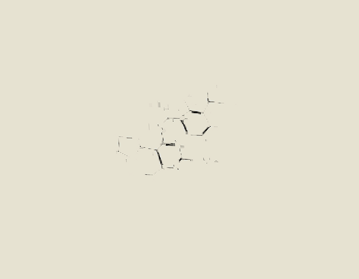 COc1nc(CC(=O)O)c(C2OCCO2)c(N[C@H](C)c2cccc(C(F)F)c2F)n1.[LiH]